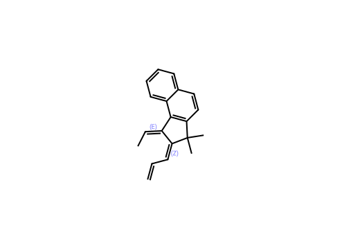 C=C/C=C1\C(=C/C)c2c(ccc3ccccc23)C1(C)C